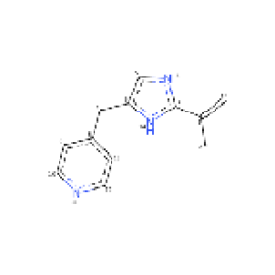 C=C(C)c1ncc(Cc2ccncc2)[nH]1